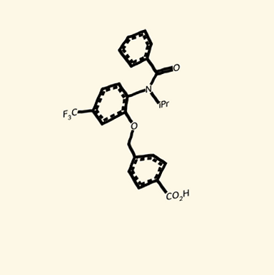 CC(C)N(C(=O)c1ccccc1)c1ccc(C(F)(F)F)cc1OCc1ccc(C(=O)O)cc1